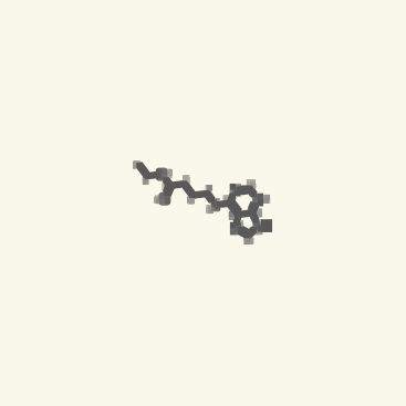 CCOC(=O)CCCSc1ncnc2[nH]cnc12